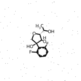 CC(O)[C@H]1O[CH][C@@](O)(c2c(F)cccc2F)[C@@H]1O